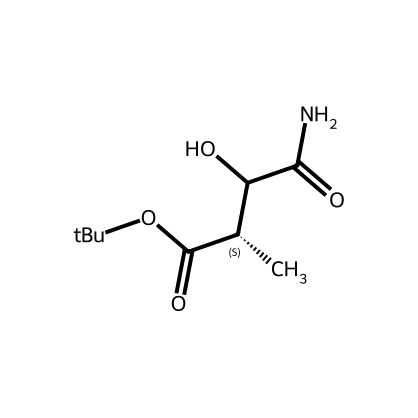 C[C@H](C(=O)OC(C)(C)C)C(O)C(N)=O